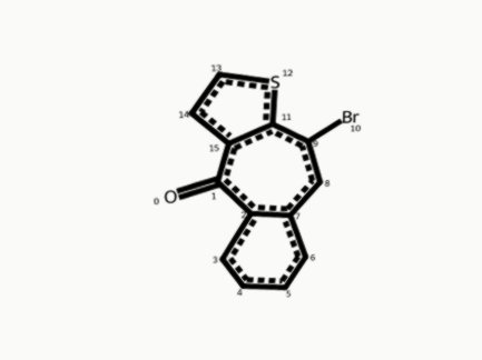 O=c1c2ccccc2cc(Br)c2sccc12